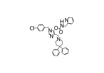 O=C(NCc1ccccn1)Oc1c(CN2CCC(c3ccccc3)(c3ccccc3)CC2)ncn1Cc1ccc(Cl)cc1